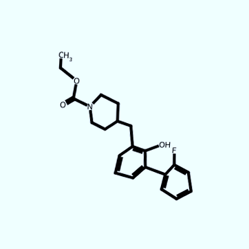 CCOC(=O)N1CCC(Cc2cccc(-c3ccccc3F)c2O)CC1